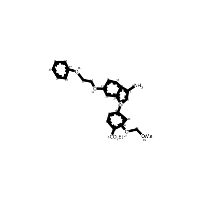 CCOC(=O)c1ccc(-n2cc(N)c3ccc(OCCOc4ccccc4)cc32)cc1OCOC